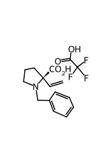 C=C[C@@]1(C(=O)O)CCCN1Cc1ccccc1.O=C(O)C(F)(F)F